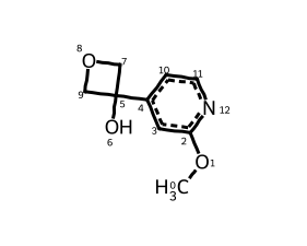 COc1cc(C2(O)COC2)ccn1